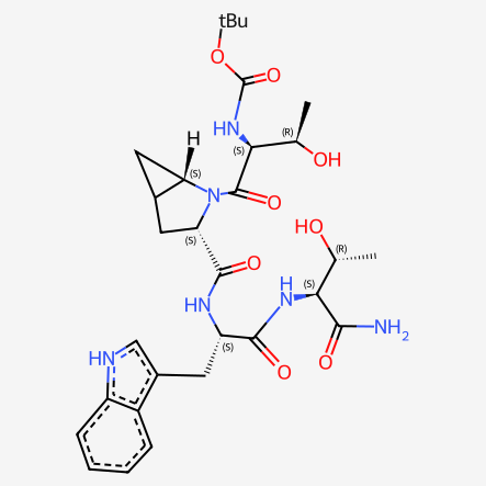 C[C@@H](O)[C@H](NC(=O)[C@H](Cc1c[nH]c2ccccc12)NC(=O)[C@@H]1CC2C[C@@H]2N1C(=O)[C@@H](NC(=O)OC(C)(C)C)[C@@H](C)O)C(N)=O